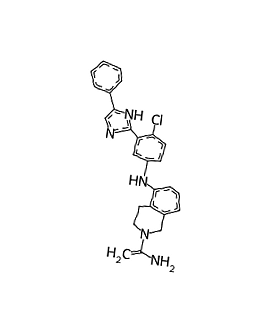 C=C(N)N1CCc2c(cccc2Nc2ccc(Cl)c(-c3ncc(-c4ccccc4)[nH]3)c2)C1